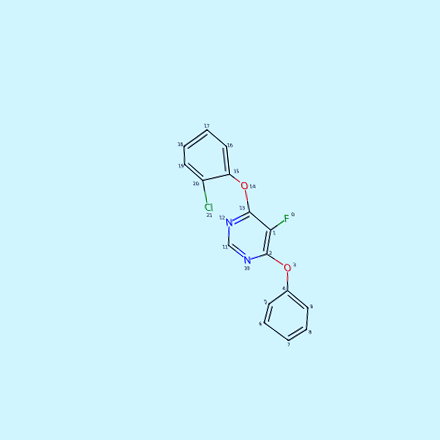 Fc1c(Oc2[c]cccc2)ncnc1Oc1ccccc1Cl